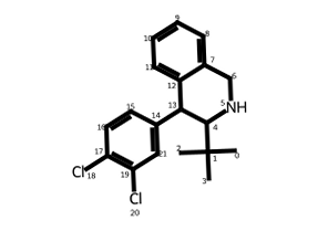 CC(C)(C)C1NCc2ccccc2C1c1ccc(Cl)c(Cl)c1